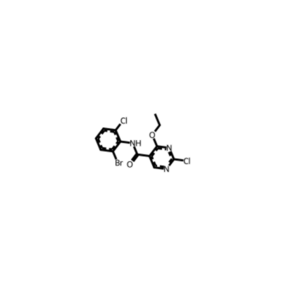 CCOc1nc(Cl)ncc1C(=O)Nc1c(Cl)cccc1Br